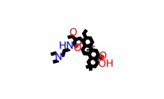 CCC1CC[C@]2(C)C(CC=C3C4CC(C)(C)CC[C@]4(C(=O)O)CC[C@]32C)[C@@]1(C)CC(C(C)=O)C(=O)NCCCN(CC)CC